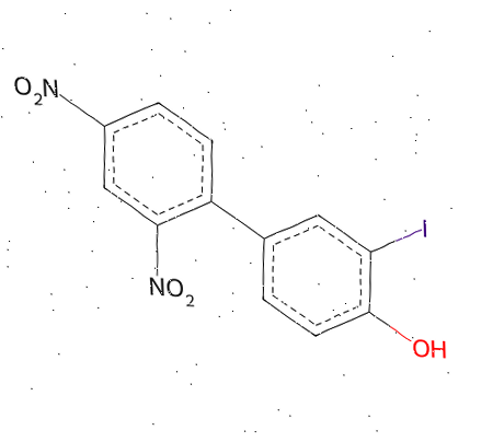 O=[N+]([O-])c1ccc(-c2ccc(O)c(I)c2)c([N+](=O)[O-])c1